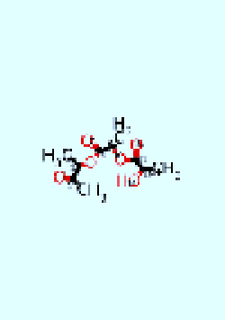 CC(=O)C(C)OC(=O)C(C)OC(=O)C(C)O